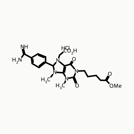 COC(=O)CCCCn1c(=O)c2c(n(C)c1=O)N(C)C(c1ccc(C(=N)N)cc1)N2CC(=O)O.Cl